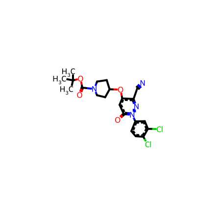 CC(C)(C)OC(=O)N1CCC(Oc2cc(=O)n(-c3ccc(Cl)c(Cl)c3)nc2C#N)CC1